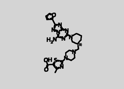 Cc1nc(N2CCN(C[C@@H]3CCCN(c4nc(N)n5nc(-c6ccco6)nc5n4)C3)CC2)sc1C(=O)O